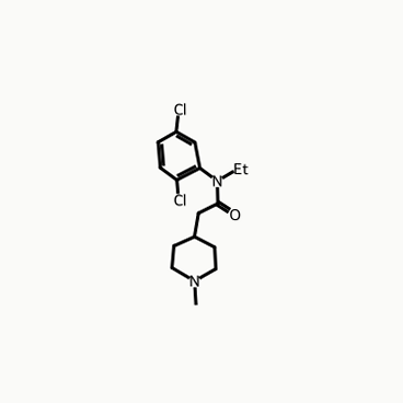 CCN(C(=O)CC1CCN(C)CC1)c1cc(Cl)ccc1Cl